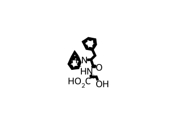 NC(Cc1ccccc1)C(=O)N[C@@H](CO)C(=O)O.c1ccc2c(c1)C2